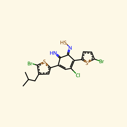 CC(C)Cc1cc(C2=CC(Cl)=C(c3ccc(Br)s3)/C(=N/S)C2=N)sc1Br